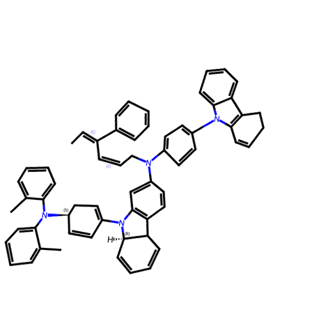 C/C=C(\C=C/CN(c1ccc(-n2c3c(c4ccccc42)CCC=C3)cc1)c1ccc2c(c1)N(C1=CC[C@H](N(c3ccccc3C)c3ccccc3C)C=C1)[C@@H]1C=CC=CC21)c1ccccc1